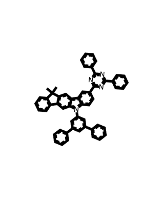 CC1(C)c2ccccc2-c2cc3c(cc21)c1cc(-c2nc(-c4ccccc4)nc(-c4ccccc4)n2)ccc1n3-c1cc(-c2ccccc2)cc(-c2ccccc2)c1